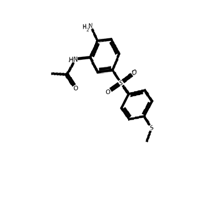 CSc1ccc(S(=O)(=O)c2ccc(N)c(NC(C)=O)c2)cc1